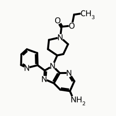 CCOC(=O)N1CCC(n2c(-c3ccccn3)nc3cc(N)cnc32)CC1